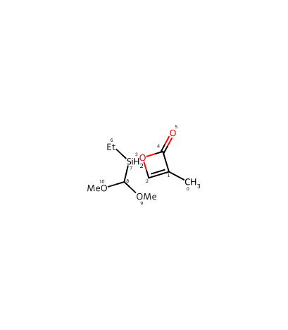 CC1=COC1=O.CC[SiH2]C(OC)OC